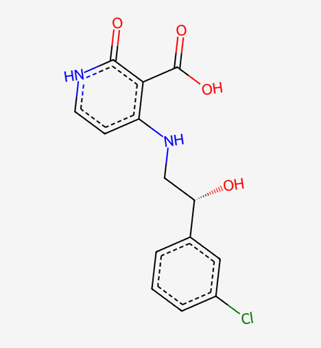 O=C(O)c1c(NC[C@H](O)c2cccc(Cl)c2)cc[nH]c1=O